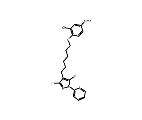 CCc1nn(-c2ccccn2)c(CC)c1CCCCCCOc1ccc(OC)cc1Cl